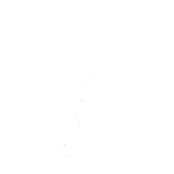 CCCCCCCCCN1C=CN(CCCCCCC)C1C(C)C